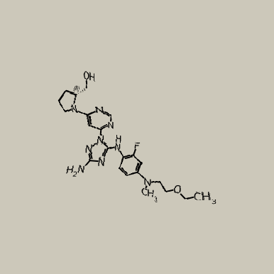 CCOCCN(C)c1ccc(Nc2nc(N)nn2-c2cc(N3CCC[C@@H]3CO)ncn2)c(F)c1